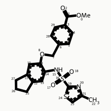 COC(=O)c1ccc(COc2cc3c(cc2NS(=O)(=O)c2nc(C)cs2)CCC3)cc1